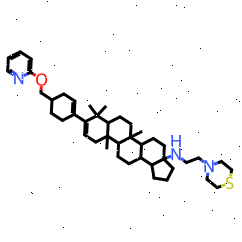 CC1(C)C(C2=CCC(COc3ccccn3)CC2)=CCC2(C)C1CCC1(C)C3CCC4(NCCN5CCSCC5)CCCC4C3CCC12